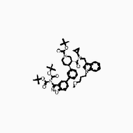 COCCCn1cc(CN(C(=O)[C@H]2CN(C(=O)OC(C)(C)C)CC[C@@H]2c2cccc(-c3ccc4onc(N(C(=O)OC(C)(C)C)C(=O)OC(C)(C)C)c4c3)c2)C2CC2)c2ccccc21